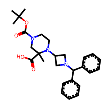 CC(C)(C)OC(=O)N1CCN(C2CN(C(c3ccccc3)c3ccccc3)C2)C(C)(C(=O)O)C1